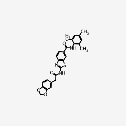 Cc1cc(C)c(NC(=O)c2ccc3nc(NC(=O)Cc4ccc5c(c4)OCO5)sc3c2)c(C)c1